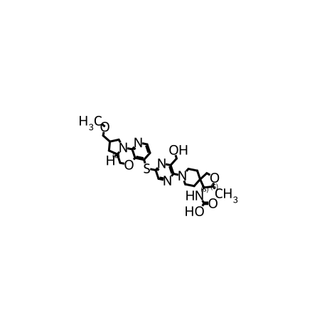 COCC1C[C@H]2COc3c(Sc4cnc(N5CCC6(CC5)CO[C@@H](C)[C@H]6NC(=O)O)c(CO)n4)ccnc3N2C1